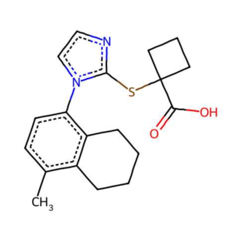 Cc1ccc(-n2ccnc2SC2(C(=O)O)CCC2)c2c1CCCC2